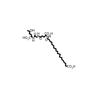 CC(O)CCC(NC(=O)CNC(=O)CCC(NC(=O)CCCCCCCCCCCCCCCCCCC(=O)O)C(=O)O)C(=O)O